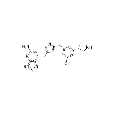 Nc1cc(Cc2cnn(Cc3cc(Cl)cc([C@@H]4CCNC4)c3)c2)c2nn[nH]c2n1